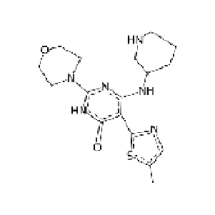 Cc1cnc(-c2c(NC3CCCNC3)nc(N3CCOCC3)[nH]c2=O)s1